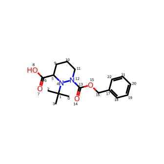 CC(C)(C)N1C(C(=O)O)CCCN1C(=O)OCc1ccccc1